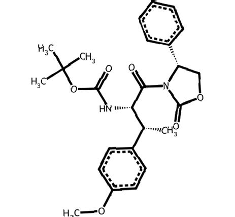 COc1ccc([C@@H](C)[C@H](NC(=O)OC(C)(C)C)C(=O)N2C(=O)OC[C@H]2c2ccccc2)cc1